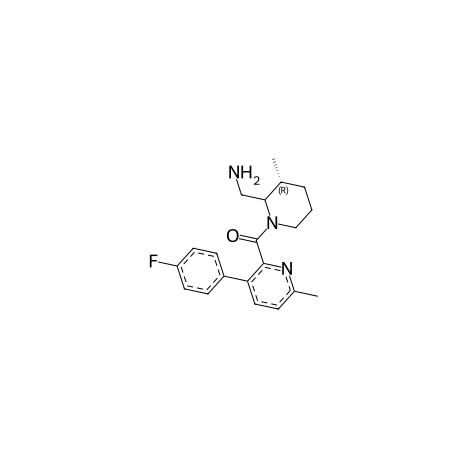 Cc1ccc(-c2ccc(F)cc2)c(C(=O)N2CCC[C@@H](C)C2CN)n1